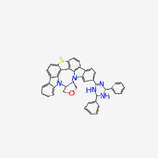 c1ccc(C2N=C(c3ccc4c5ccc6sc7ccc8c9ccccc9n9c8c7c6c5n(c4c3)C3COCC39)NC(c3ccccc3)N2)cc1